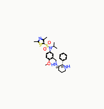 COc1ccc(N(C(C)C)S(=O)(=O)c2sc(C)nc2C)cc1CN[C@H]1CCCN[C@H]1c1ccccc1